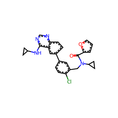 O=C(c1ccco1)N(Cc1cc(-c2ccc3ncnc(NC4CC4)c3c2)ccc1Cl)C1CC1